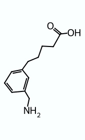 NCc1cccc(CCCCC(=O)O)c1